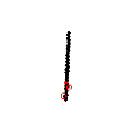 CCCCC=CC=CC=CC=CCCC=CCCC=CC=CC=CC=CCCCCCCCC(=O)CCCCC(=O)CCC